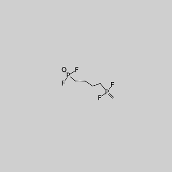 C=P(F)(F)CCCCP(=O)(F)F